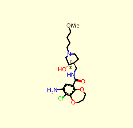 COCCCCN1CC[C@@H](CNC(=O)c2cc(N)c(Cl)c3c2OCCCO3)[C@H](O)C1